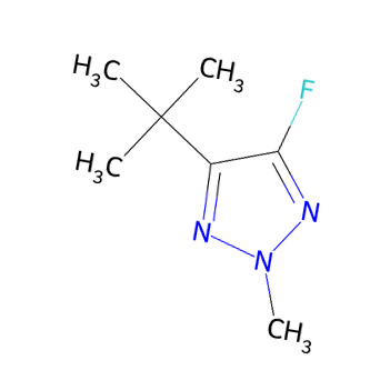 Cn1nc(F)c(C(C)(C)C)n1